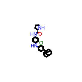 O=C(Nc1ccc(Nc2ccc(C34CC5CC(CC(C5)C3)C4)cc2Cl)cc1)[C@@H]1CCCN1